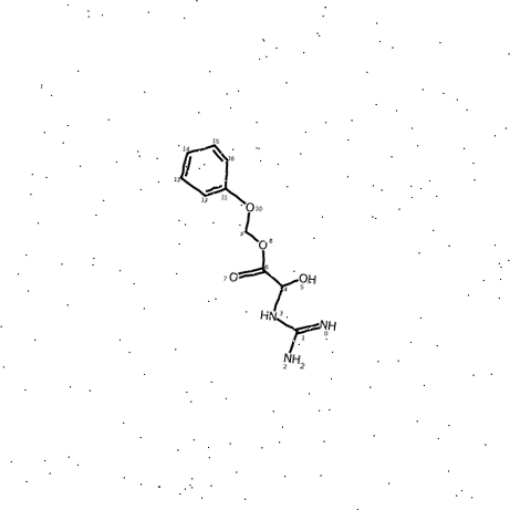 N=C(N)NC(O)C(=O)OCOc1ccccc1